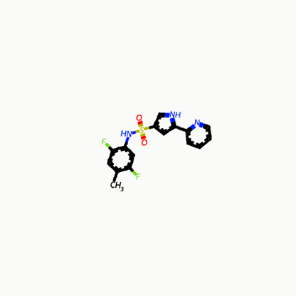 Cc1cc(F)c(NS(=O)(=O)c2c[nH]c(-c3ccccn3)c2)cc1F